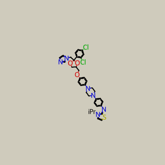 CC(C)n1ccs/c1=N/c1ccc(N2CCN(c3ccc(OCC4COC(Cn5ccnc5)(c5ccc(Cl)cc5Cl)O4)cc3)CC2)cc1